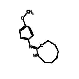 COc1ccc(N=C2CCCCCCCN2)cc1